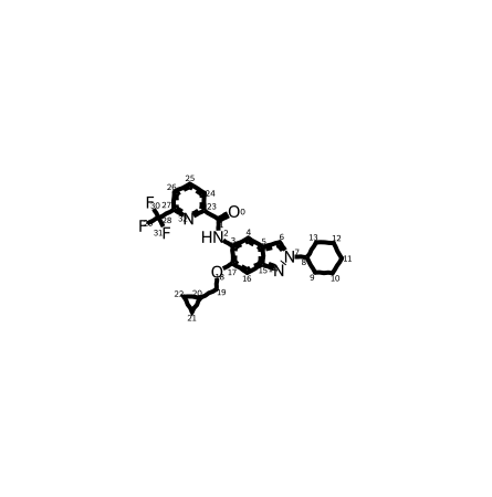 O=C(Nc1cc2cn(C3CCCCC3)nc2cc1OCC1CC1)c1cccc(C(F)(F)F)n1